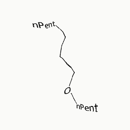 [CH2]CCCCCCCOCCCCC